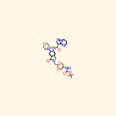 CC(C)(C)OC(=O)NC1COC(CN2Cc3cc(NC(=O)c4cnn5cccnc45)c(N4CCOCC4)cc3C2=O)OC1